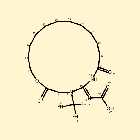 [2H]C([2H])([2H])N1CC(=O)OCCCCCCCCCCCC(=O)N/C1=N\C(=O)O